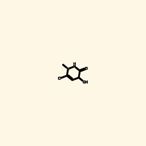 CN1NC(=O)C(O)C=C1Cl